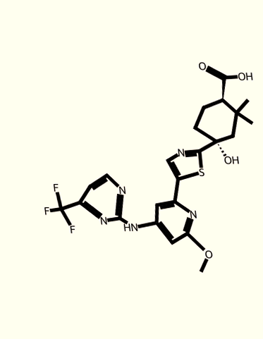 COc1cc(Nc2nccc(C(F)(F)F)n2)cc(-c2cnc([C@@]3(O)CC[C@@H](C(=O)O)C(C)(C)C3)s2)n1